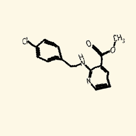 COC(=O)c1cccnc1NCc1ccc(Cl)cc1